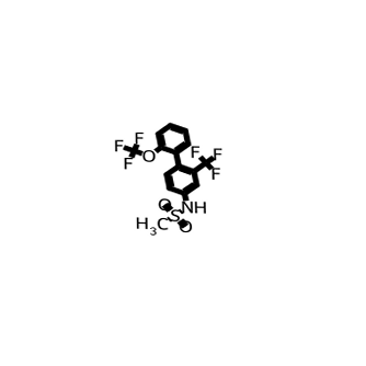 CS(=O)(=O)Nc1ccc(-c2ccccc2OC(F)(F)F)c(C(F)(F)F)c1